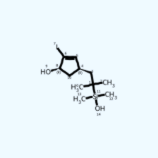 CC(C)(C[C@@H]1C=C(I)[C@H](O)C1)[Si](C)(C)O